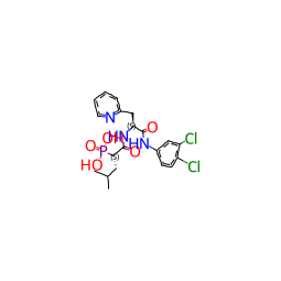 CC(C)C[C@@H](C(=O)N[C@@H](Cc1ccccn1)C(=O)Nc1ccc(Cl)c(Cl)c1)P(=O)(O)O